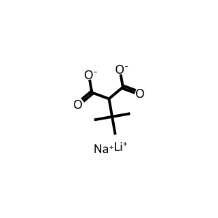 CC(C)(C)C(C(=O)[O-])C(=O)[O-].[Li+].[Na+]